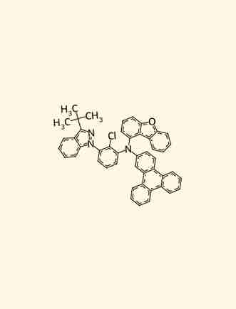 CC(C)(C)c1nn(-c2cccc(N(c3ccc4c5ccccc5c5ccccc5c4c3)c3cccc4oc5ccccc5c34)c2Cl)c2ccccc12